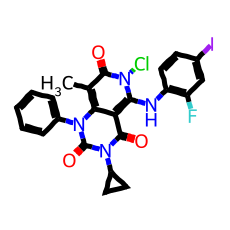 Cc1c(=O)n(Cl)c(Nc2ccc(I)cc2F)c2c(=O)n(C3CC3)c(=O)n(-c3ccccc3)c12